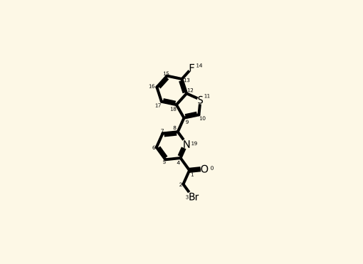 O=C(CBr)c1cccc(-c2csc3c(F)cccc23)n1